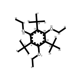 CCOc1c(C(C)(C)C)c(OCC)c(C(C)(C)C)c(OCC)c1C(C)(C)C